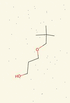 CC(C)(C)COCCCO